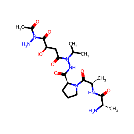 CC(=O)N(N)C(=O)C(O)CC(=O)N(NC(=O)[C@@H]1CCCN1C(=O)[C@H](C)NC(=O)[C@H](C)N)C(C)C